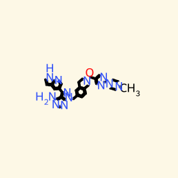 CN1CCN(c2ncc(C(=O)N3CCc4cc(Cn5nc(-c6cnc7[nH]ccc7c6)c6c(N)ncnc65)ccc4C3)cn2)CC1